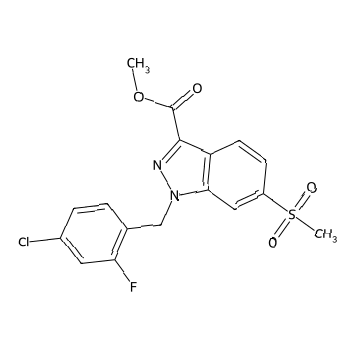 COC(=O)c1nn(Cc2ccc(Cl)cc2F)c2cc(S(C)(=O)=O)ccc12